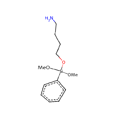 CO[Si](OC)(OCCCCN)c1ccccc1